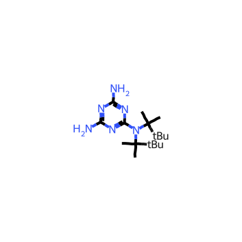 CC(C)(C)C(C)(C)N(c1nc(N)nc(N)n1)C(C)(C)C(C)(C)C